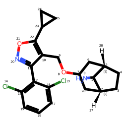 NC1[C@@H]2CC[C@H]1CC(OCc1c(-c3c(Cl)cccc3Cl)noc1C1CC1)C2